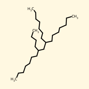 CCCCCCCC([CH]C(CCCCCCC)CCCCCCC)CCCC